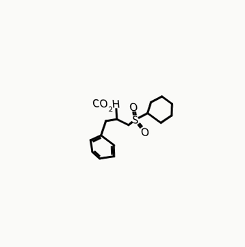 O=C(O)C(Cc1ccccc1)CS(=O)(=O)C1CCCCC1